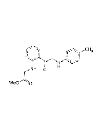 COC(=O)CNc1ccccc1C(=O)CNc1ccc(C)cc1